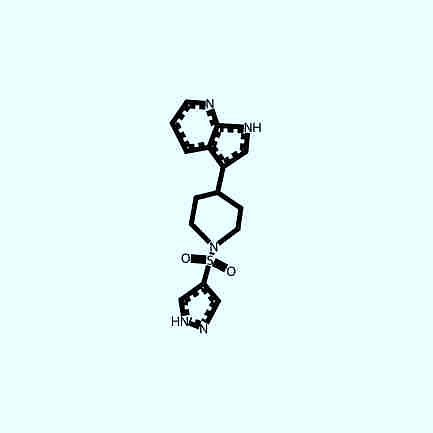 O=S(=O)(c1cn[nH]c1)N1CCC(c2c[nH]c3ncccc23)CC1